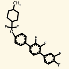 CC1CCC(C(F)(F)Oc2ccc(-c3ccc(-c4ccc(F)c(F)c4)c(F)c3F)cc2)CC1